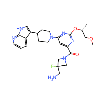 COC[C@@H](C)Oc1nc(C(=O)N2CC(F)(CN)C2)cc(N2CCC(c3c[nH]c4ncccc34)CC2)n1